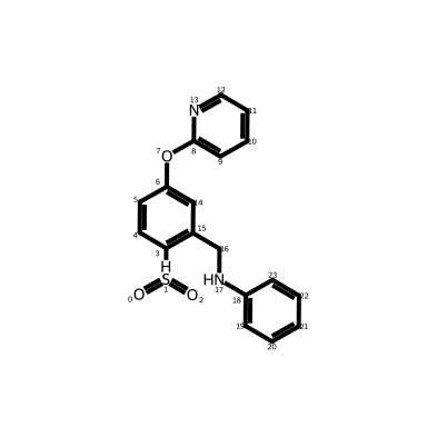 O=[SH](=O)c1ccc(Oc2ccccn2)cc1CNc1ccccc1